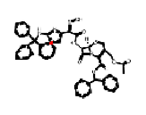 CC(=O)OCC1=C(C(=O)OC(c2ccccc2)c2ccccc2)N2C(=O)[C@@H](NC(=O)/C(=N\O)c3csc(NC(c4ccccc4)(c4ccccc4)c4ccccc4)n3)[C@H]2SC1